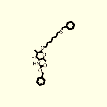 CC1[C@@H](OCCCCCCSCc2ccccc2)OC(C)[C@H](NC(=O)OCc2ccccc2)[C@@H]1C